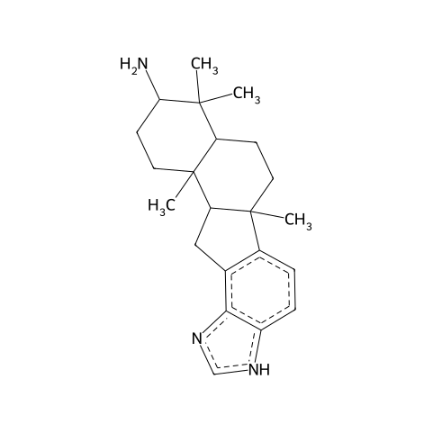 CC12CCC3C(C)(C)C(N)CCC3(C)C1Cc1c2ccc2[nH]cnc12